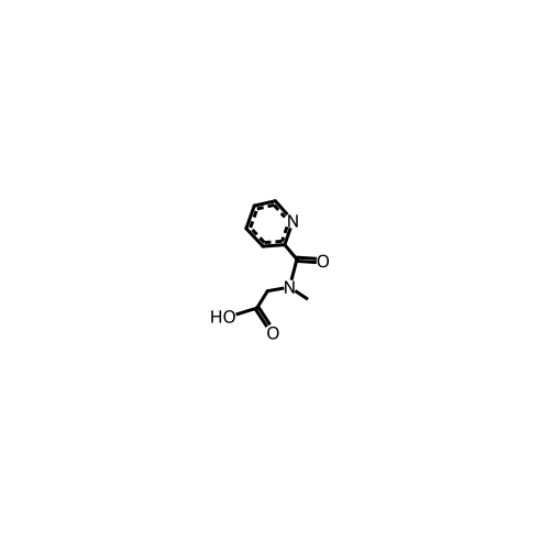 CN(CC(=O)O)C(=O)c1ccccn1